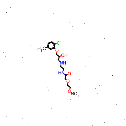 Cc1ccc(Cl)c(OCC(O)CNCCNC(=O)COCCO[N+](=O)[O-])c1